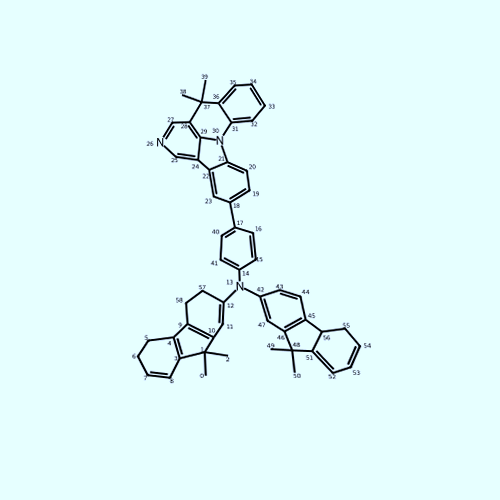 CC1(C)C2=C(CCC=C2)C2=C1C=C(N(c1ccc(-c3ccc4c(c3)c3cncc5c3n4-c3ccccc3C5(C)C)cc1)c1ccc3c(c1)C(C)(C)C1=CC=CCC13)CC2